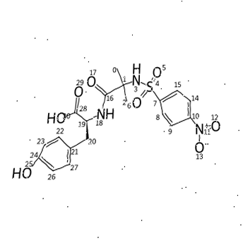 CC(C)(NS(=O)(=O)c1ccc([N+](=O)[O-])cc1)C(=O)N[C@@H](Cc1ccc(O)cc1)C(=O)O